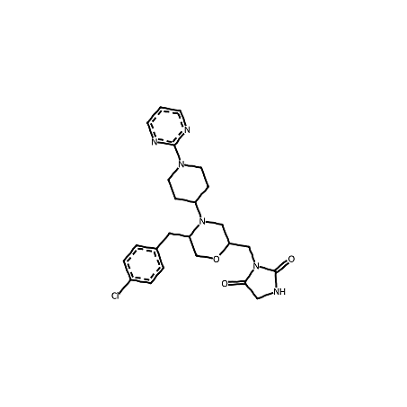 O=C1CNC(=O)N1CC1CN(C2CCN(c3ncccn3)CC2)C(Cc2ccc(Cl)cc2)CO1